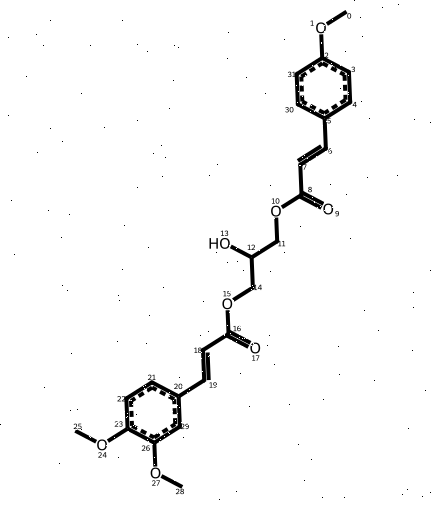 COc1ccc(C=CC(=O)OCC(O)COC(=O)C=Cc2ccc(OC)c(OC)c2)cc1